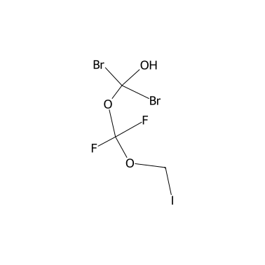 OC(Br)(Br)OC(F)(F)OCI